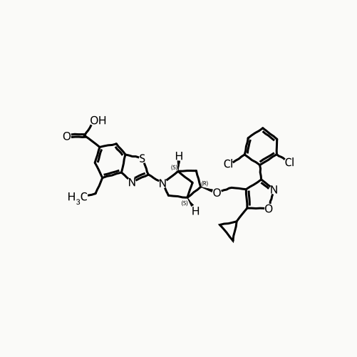 CCc1cc(C(=O)O)cc2sc(N3C[C@@H]4C[C@H]3C[C@H]4OCc3c(-c4c(Cl)cccc4Cl)noc3C3CC3)nc12